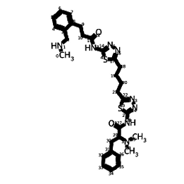 CNCc1ccccc1CCC(=O)Nc1nnc(CCCCc2nnc(NC(=O)C(Cc3ccccc3)N(C)C)s2)s1